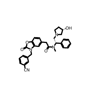 CN(C(=O)Cc1ccc2oc(=O)n(Cc3cccc(C#N)c3)c2c1)[C@H](CN1CC[C@H](O)C1)c1ccccc1